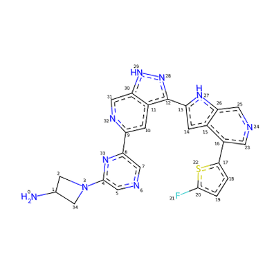 NC1CN(c2cncc(-c3cc4c(-c5cc6c(-c7ccc(F)s7)cncc6[nH]5)n[nH]c4cn3)n2)C1